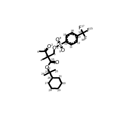 CC(=O)C(C)(COS(=O)(=O)c1ccc(C(F)(F)F)cc1)C(=O)OC(C)(C)C1CCCCC1